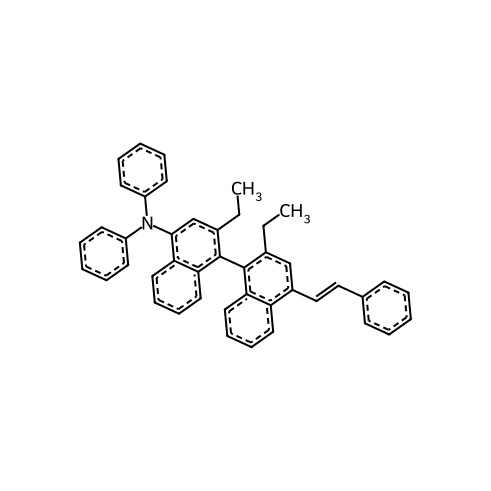 CCc1cc(/C=C/c2ccccc2)c2ccccc2c1-c1c(CC)cc(N(c2ccccc2)c2ccccc2)c2ccccc12